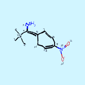 C[Si](C)(C)C(N)=C1C=CC([N+](=O)[O-])=CC1